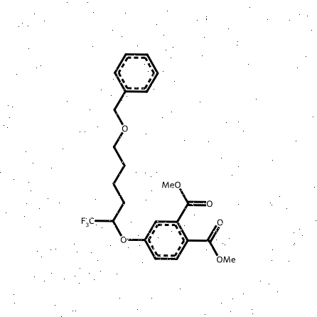 COC(=O)c1ccc(OC(CCCCOCc2ccccc2)C(F)(F)F)cc1C(=O)OC